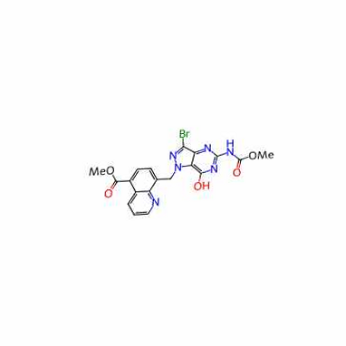 COC(=O)Nc1nc(O)c2c(n1)c(Br)nn2Cc1ccc(C(=O)OC)c2cccnc12